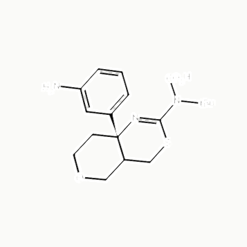 CC(C)(C)N(C(=O)O)C1=N[C@@]2(c3cccc(N)c3)CCOCC2CS1